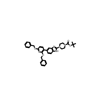 CC(C)(C)OC(=O)N1CCN(c2nc3cc(-c4ccc(OCc5ccccc5)nc4OCc4ccccc4)ccc3[nH]2)CC1